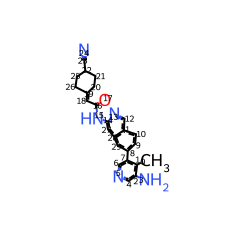 Cc1c(N)cncc1-c1ccc2cnc(NC(=O)C=C3CCC(C#N)CC3)cc2c1